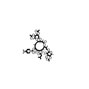 CO[C@H]1[C@@H](OC)[C@H](OC[C@H](C)[C@H]2OC(=O)[C@H](C)[C@@H](O[C@H]3C[C@@](C)(OC(C)=O)[C@@H](OC(C)=O)[C@H](C)O3)[C@H](C)C[C@@H](C)C[C@](C)(OC(=O)[n+]3ccc(N(C)C)cc3)C(=O)[C@H](C)[C@H](OC(=O)CC(C)C)[C@H]2C)O[C@H](C)[C@H]1OC(C)=O